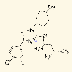 NC(CC(N)C(F)(F)F)N/C(=N/C(=O)c1ccc(Cl)c(F)c1)NC1CCC(O)CC1